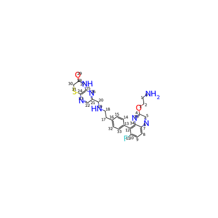 NCCOc1cnc2ccc(F)c(-c3ccc(CCNCc4cnc5c(n4)NC(=O)CS5)cc3)c2n1